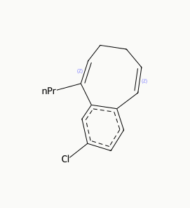 CCC/C1=C/CC/C=C\c2ccc(Cl)cc21